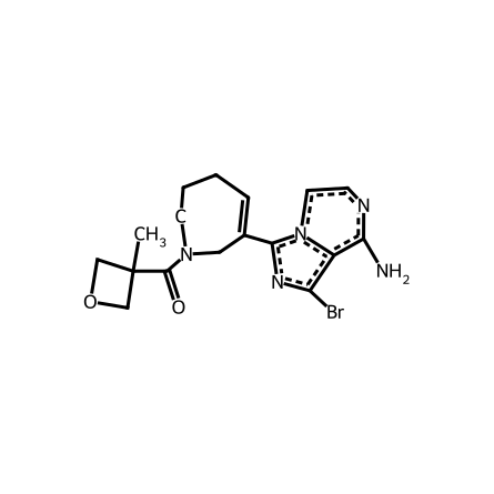 CC1(C(=O)N2CCCC=C(c3nc(Br)c4c(N)nccn34)C2)COC1